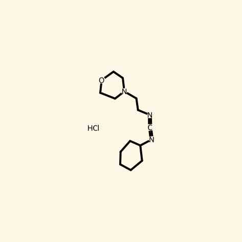 C(=NCCN1CCOCC1)=NC1CCCCC1.Cl